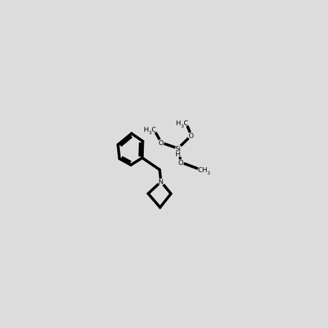 CO[SiH](OC)OC.c1ccc(CN2CCC2)cc1